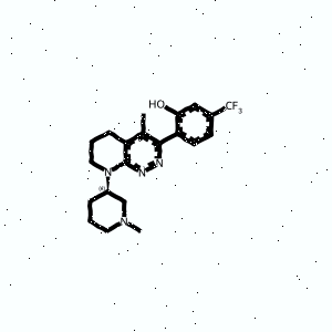 Cc1c(-c2ccc(C(F)(F)F)cc2O)nnc2c1CCCN2[C@@H]1CCCN(C)C1